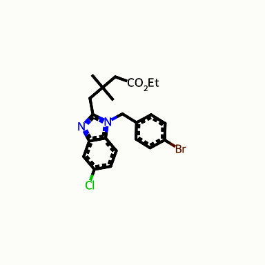 CCOC(=O)CC(C)(C)Cc1nc2cc(Cl)ccc2n1Cc1ccc(Br)cc1